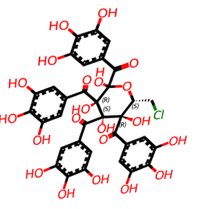 O=C(c1cc(O)c(O)c(O)c1)C1(O)O[C@H](CCl)[C@](O)(C(=O)c2cc(O)c(O)c(O)c2)[C@@](O)(C(=O)c2cc(O)c(O)c(O)c2)[C@]1(O)C(=O)c1cc(O)c(O)c(O)c1